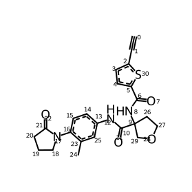 C#Cc1ccc(C(=O)NC2(C(=O)Nc3ccc(N4CCCC4=O)c(C)c3)CCOC2)s1